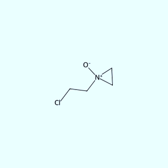 [O-][N+]1(CCCl)CC1